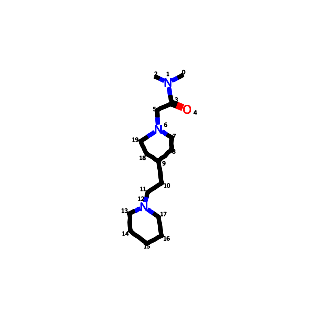 CN(C)C(=O)CN1CCC(CCN2CCCCC2)CC1